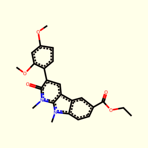 CCOC(=O)c1ccc2c(c1)c1cc(-c3ccc(OC)cc3OC)c(=O)n(C)c1n2C